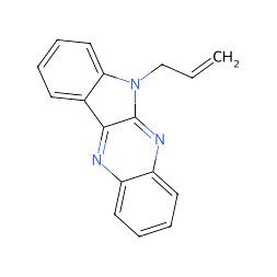 C=CCn1c2ccccc2c2nc3ccccc3nc21